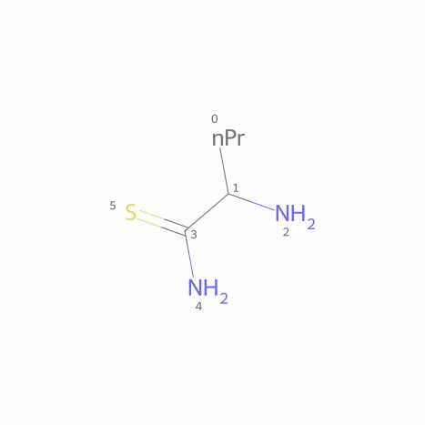 CCCC(N)C(N)=S